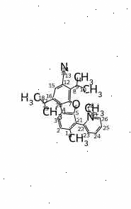 Cc1ccc2c(oc3c(C(C)C)c(C#N)cc(C(C)C)c32)c1-c1cccc[n+]1C